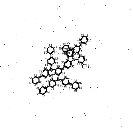 Cc1ccc(-c2nc(-c3ccccc3)cc(-c3ccccc3)n2)c(-n2c3ccccc3c3cc(-c4cc5c6c(c4)N(c4ccc(-c7ccccc7)cc4)c4ccc(-c7ccccc7)cc4B6c4cc(-c6ccccc6)ccc4N5c4ccc(-c5ccccc5)cc4)ccc32)c1